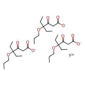 CCCOC(CC)(CC)C(=O)CC(=O)[O-].CCCOC(CC)(CC)C(=O)CC(=O)[O-].CCCOC(CC)(CC)C(=O)CC(=O)[O-].[Y+3]